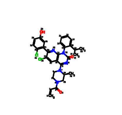 C=CC(=O)N1CCN(c2nc(=O)n(-c3ccccc3C(C)C)c3nc(-c4cc(O)ccc4Cl)c(Cl)cc23)[C@@H](C)C1